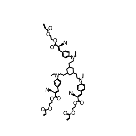 C=CC(=O)OCCOC(=O)/C(C#N)=C/c1ccc(N(CC)CCC2CC(CCN(CC)c3ccc(/C=C(\C#N)C(=O)OCCOC(=O)C=C)cc3)CC(CCN(CC)c3ccc(/C=C(\C#N)C(=O)OCCOC(=O)C=C)cc3)C2)cc1